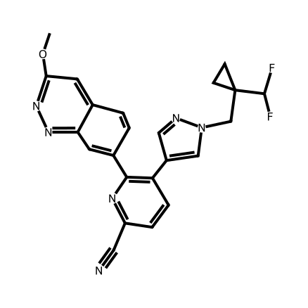 COc1cc2ccc(-c3nc(C#N)ccc3-c3cnn(CC4(C(F)F)CC4)c3)cc2nn1